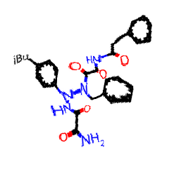 CCC(C)c1ccc(N(NC(=O)C(N)=O)N(Cc2ccccc2)C(=O)C(=O)NC(=O)Cc2ccccc2)cc1